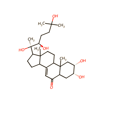 CC(C)(O)CC[C@@H](O)[C@](C)(O)C1CCC2C3=CC(=O)C4C[C@@H](O)[C@@H](O)CC4(C)C3CCC21C